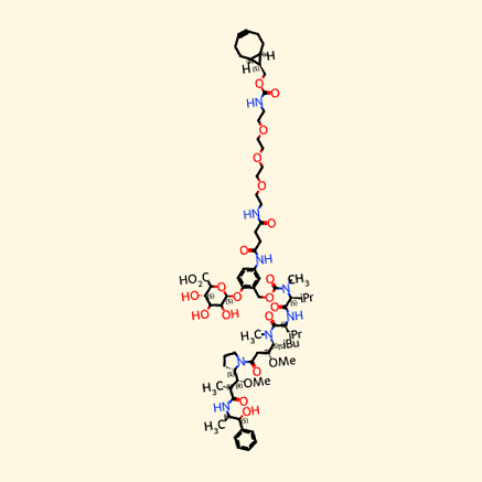 CC[C@H](C)[C@@H]([C@@H](CC(=O)N1CCC[C@H]1[C@H](OC)[C@@H](C)C(=O)N[C@H](C)[C@@H](O)c1ccccc1)OC)N(C)C(=O)[C@@H](NC(=O)[C@H](C(C)C)N(C)C(=O)OCc1cc(NC(=O)CCC(=O)NCCOCCOCCOCCNC(=O)OC[C@@H]2[C@@H]3CCC#CCC[C@@H]32)ccc1O[C@@H]1OC(C(=O)O)[C@@H](O)C(O)C1O)C(C)C